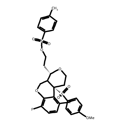 COc1ccc(S(=O)(=O)[C@@]23CCO[C@@H](CCOS(=O)(=O)c4ccc(C)cc4)C2COc2c(F)ccc(F)c23)cc1